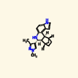 Cc1nn(C)cc1[C@@H]1Nc2ccc3[nH]ccc3c2[C@H]2[C@@H]3CC[C@@H](C3)[C@H]21